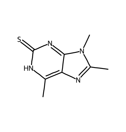 Cc1[nH]c(=S)nc2c1nc(C)n2C